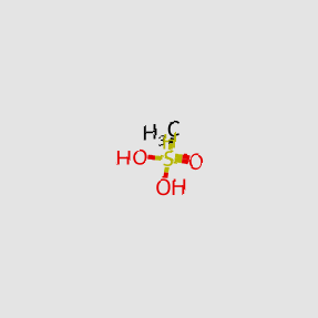 C[SH](=O)(O)O